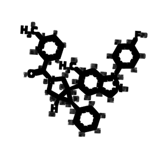 Cc1cccc(C(=O)N2C[C@H]3[C@H](c4ccccc4)[C@@]3(c3cc4cnn(-c5ccc(F)cc5)c4cc3C)C2)n1